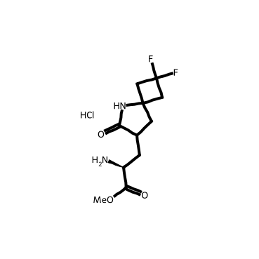 COC(=O)[C@@H](N)CC1CC2(CC(F)(F)C2)NC1=O.Cl